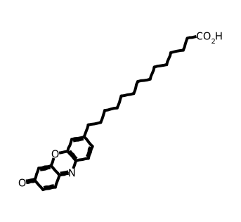 O=C(O)CCCCCCCCCCCCCc1ccc2nc3ccc(=O)cc-3oc2c1